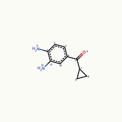 Nc1ccc(C(=O)C2CC2)cc1N